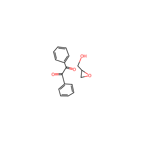 O=C(C(=O)c1ccccc1)c1ccccc1.OCC1CO1